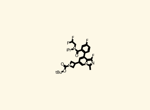 Cc1nc(F)c2c(-c3ccc(F)cc3C(=O)N(CC(F)F)C(C)C)cc(C3CN(C(=O)OC(C)(C)C)C3)cn12